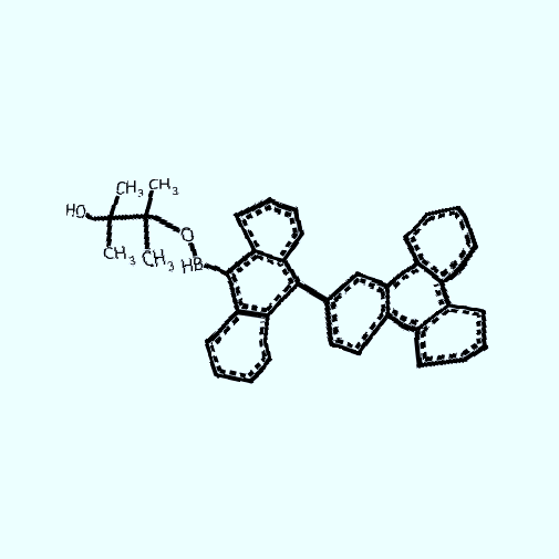 CC(C)(O)C(C)(C)OBc1c2ccccc2c(-c2ccc3c4ccccc4c4ccccc4c3c2)c2ccccc12